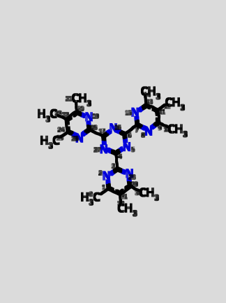 Cc1nc(-c2nc(-c3nc(C)c(C)c(C)n3)nc(-c3nc(C)c(C)c(C)n3)n2)nc(C)c1C